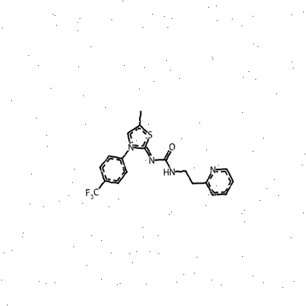 Cc1cn(-c2ccc(C(F)(F)F)cc2)/c(=N/C(=O)NCCc2ccccn2)s1